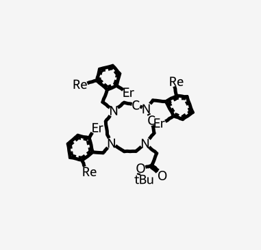 CC(C)(C)OC(=O)CN1CCN(Cc2[c]([Er])ccc[c]2[Re])CCN(Cc2[c]([Er])ccc[c]2[Re])CCN(Cc2[c]([Er])ccc[c]2[Re])CC1